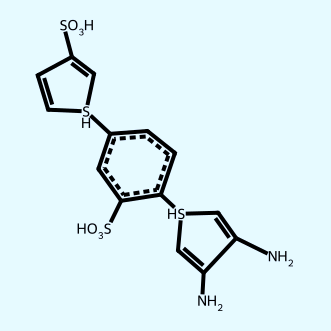 NC1=C[SH](c2ccc([SH]3C=CC(S(=O)(=O)O)=C3)cc2S(=O)(=O)O)C=C1N